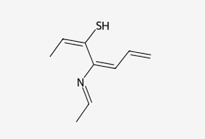 C=C/C=C(/N=C/C)C(\S)=C/C